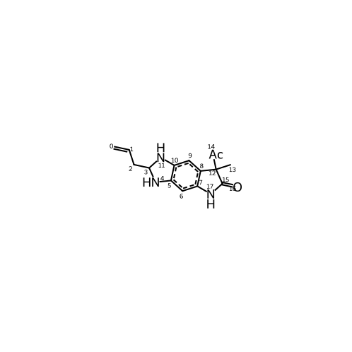 C=CCC1Nc2cc3c(cc2N1)C(C)(C(C)=O)C(=O)N3